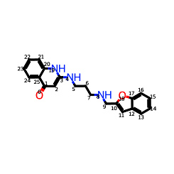 O=c1cc(NCCCNCc2cc3ccccc3o2)[nH]c2ccccc12